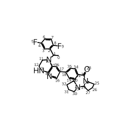 CC(c1cc(F)ccc1F)N1CCNc2ncc(-c3ccc(C(=O)N4CCCC4N4CCCC4)cc3)cc21